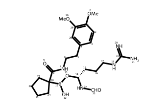 COc1ccc(CCNC(=O)C2(B(O)O[C@H](CCCNC(=N)N)NC=O)CCCC2)cc1OC